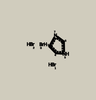 Br.Br.Br.c1c[nH]cn1